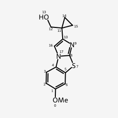 COc1ccc2c(c1)sc1nc(C3(CO)CC3)cn12